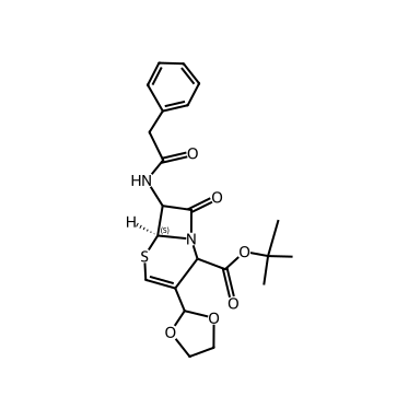 CC(C)(C)OC(=O)C1C(C2OCCO2)=CS[C@H]2C(NC(=O)Cc3ccccc3)C(=O)N12